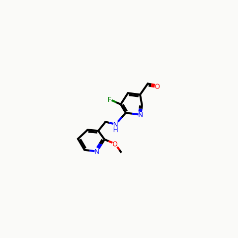 COc1ncccc1CNc1ncc(C=O)cc1F